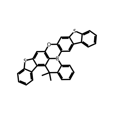 CC1(C)c2ccccc2B2c3cc4c(cc3Oc3cc5sc6ccccc6c5c1c32)sc1ccccc14